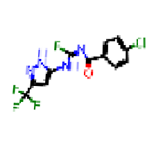 O=C(/N=C(/F)Nc1cc(C(F)(F)F)n[nH]1)c1ccc(Cl)cc1